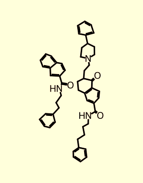 O=C(NCCCCc1ccccc1)c1ccc2c(c1)CCC(CCN1CCC(c3ccccc3)CC1)C2=O.O=C(NCCCc1ccccc1)c1ccc2ccccc2c1